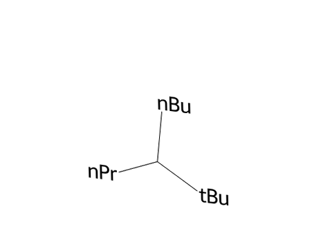 CCCCC(CCC)C(C)(C)C